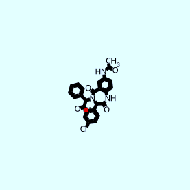 CC(=O)Nc1ccc2c(c1)C(=O)N(C(C(=O)O)c1ccccc1)C(c1ccc(Cl)cc1)C(=O)N2